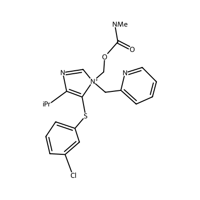 CNC(=O)OC[N+]1(Cc2ccccn2)C=NC(C(C)C)=C1Sc1cccc(Cl)c1